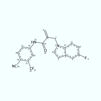 C=C(Cn1ccc2cc(F)ccc21)C(=O)Nc1ccc(C#N)c(C(F)(F)F)c1